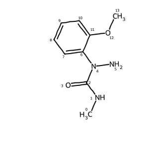 CNC(=O)N(N)c1ccccc1OC